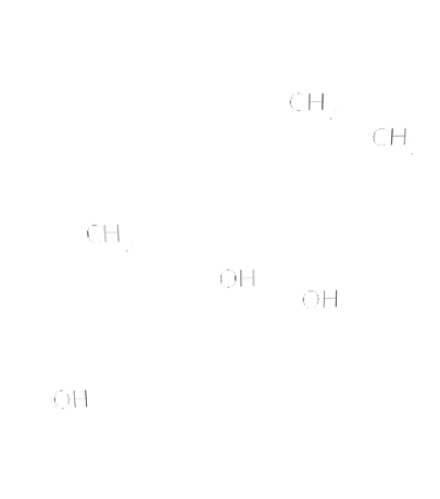 C=CCO.C=CCO.C=CCO.c1ccccc1